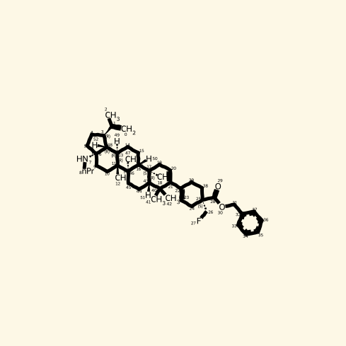 C=C(C)[C@@H]1CC[C@]2(NCCC)CC[C@]3(C)[C@H](CC[C@@H]4[C@@]5(C)CC=C(C6=CC[C@](CF)(C(=O)OCc7ccccc7)CC6)C(C)(C)[C@@H]5CC[C@]43C)[C@@H]12